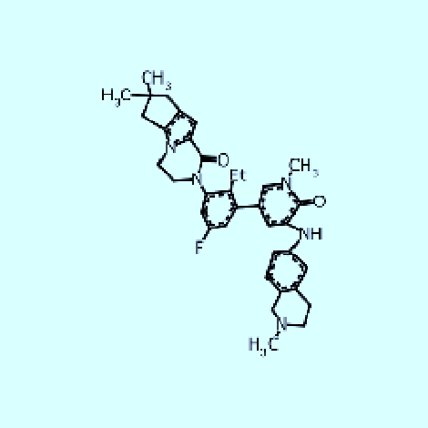 CCc1c(-c2cc(Nc3ccc4c(c3)CCN(C)C4)c(=O)n(C)c2)cc(F)cc1N1CCn2c(cc3c2CC(C)(C)C3)C1=O